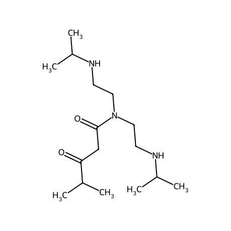 CC(C)NCCN(CCNC(C)C)C(=O)CC(=O)C(C)C